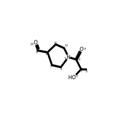 CC(O)C(=O)N1CCC([C]=O)CC1